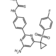 CNC(=S)Nc1ccc(-c2nc(N)cc(C3(S(=O)(=O)c4ccc(F)cc4)CC3)n2)cc1